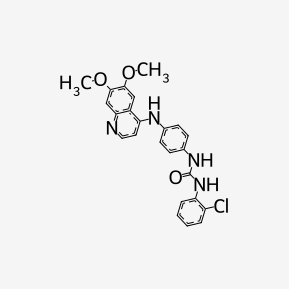 COc1cc2nccc(Nc3ccc(NC(=O)Nc4ccccc4Cl)cc3)c2cc1OC